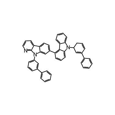 C1=CC(c2ccccc2)=CC(n2c3ccccc3c3c(-c4ccc5c6cccnc6n(-c6cccc(-c7ccccc7)c6)c5c4)cccc32)C1